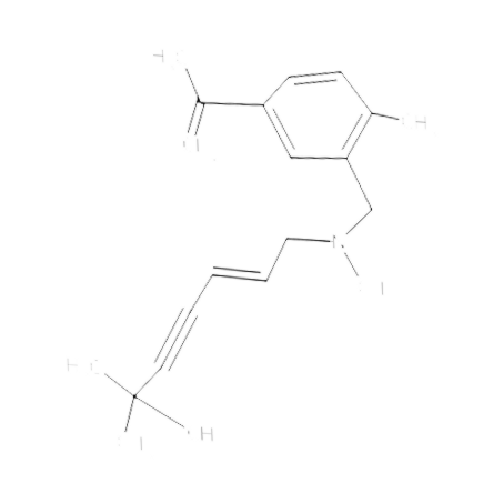 C=C(C)c1ccc(C)c(CN(C)C/C=C/C#CC(C)(C)C)c1